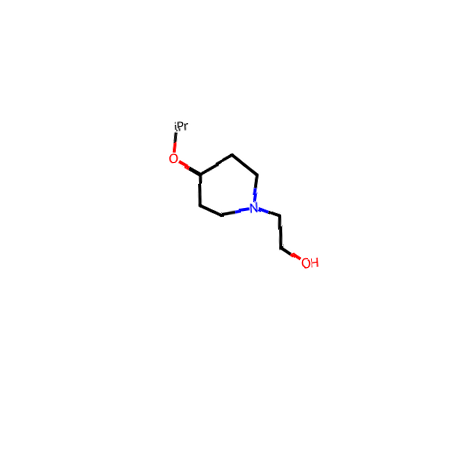 CC(C)OC1CCN(CCO)CC1